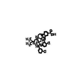 CC(C)CCN1[C@H]2CCn3c(nc4cc(C(=O)O)ccc43)[C@H]2[C@H](c2cccc(Cl)c2F)[C@]1(C)C(=O)Nc1cccc(Cl)c1